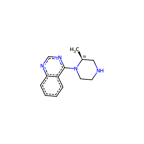 C[C@H]1CNCCN1c1ncnc2ccccc12